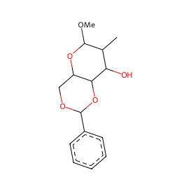 COC1OC2COC(c3ccccc3)OC2C(O)C1C